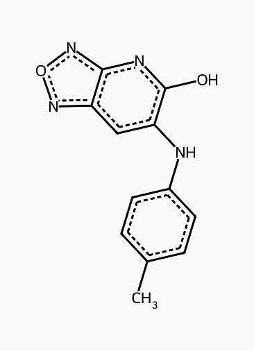 Cc1ccc(Nc2cc3nonc3nc2O)cc1